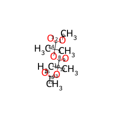 COC(=O)C(C)(C)OC(=O)C(C)(C)OC(C)=O